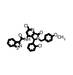 COc1ccc(CN2C(=O)c3nc(Cl)cc(NC(=O)c4nsc5ccccc45)c3C2c2ccccc2Cl)cc1